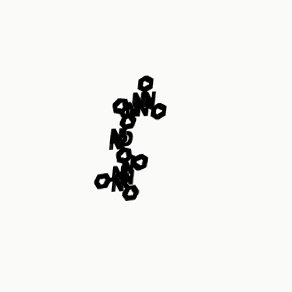 C1=CC(c2nc(-c3ccccc3)nc(-n3c4ccccc4c4cc(-c5nnc(-c6ccc7c(c6)c6ccccc6n7-c6nc(-c7ccccc7)nc(-c7ccccc7)n6)o5)ccc43)n2)=CCC1